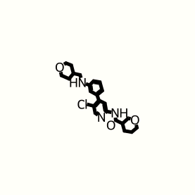 O=C(Nc1cc(-c2cccc(NCC3CCOCC3)c2)c(Cl)cn1)C1CCCOC1